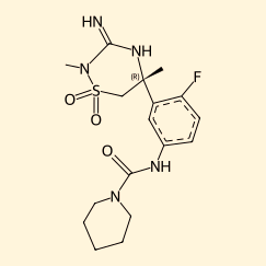 CN1C(=N)N[C@](C)(c2cc(NC(=O)N3CCCCC3)ccc2F)CS1(=O)=O